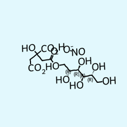 O=C(O)CC(O)(CC(=O)OC[C@@H](O)[C@@H](O)[C@H](O)[C@H](O)CO)C(=O)O.O=[NH+][O-]